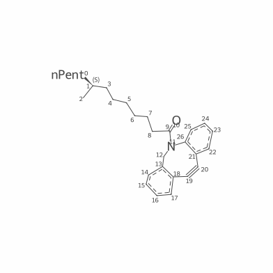 CCCCC[C@H](C)CCCCCCC(=O)N1Cc2ccccc2C#Cc2ccccc21